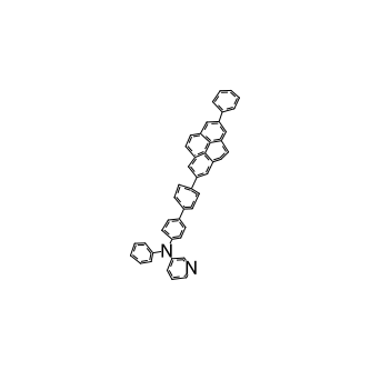 c1ccc(-c2cc3ccc4cc(-c5ccc(-c6ccc(N(c7ccccc7)c7cccnc7)cc6)cc5)cc5ccc(c2)c3c45)cc1